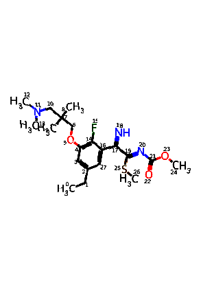 CCc1cc(OCC(C)(C)CN(C)C)c(F)c(C(=N)C(=NC(=O)OC)SC)c1